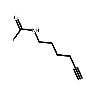 C#CCCCCNC(=O)I